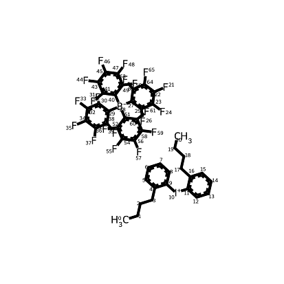 CCCCc1ccccc1[I+]c1ccccc1CCCC.Fc1c(F)c(F)c([B-](c2c(F)c(F)c(F)c(F)c2F)(c2c(F)c(F)c(F)c(F)c2F)c2c(F)c(F)c(F)c(F)c2F)c(F)c1F